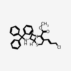 COC(=O)C1=C(/C=C/CCl)CS[C@@H]2[C@H](NC(c3ccccc3)(c3ccccc3)c3ccccc3)C(=O)N12